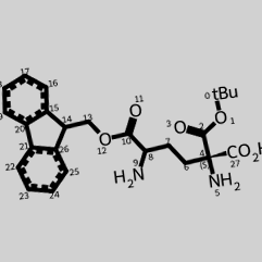 CC(C)(C)OC(=O)[C@](N)(CCC(N)C(=O)OCC1c2ccccc2-c2ccccc21)C(=O)O